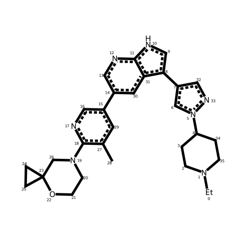 CCN1CCC(n2cc(-c3c[nH]c4ncc(-c5cnc(N6CCOC7(CC7)C6)c(C)c5)cc34)cn2)CC1